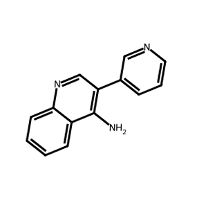 Nc1c(-c2cccnc2)cnc2ccccc12